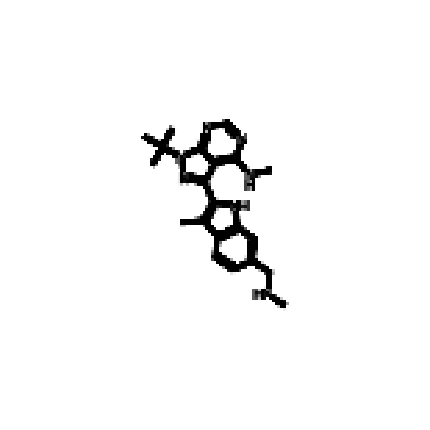 CNCc1ccc2c(C)c(-c3nn(C(C)(C)C)c4ncnc(NC)c34)[nH]c2c1